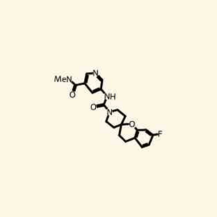 CNC(=O)c1cncc(NC(=O)N2CCC3(CCc4ccc(F)cc4O3)CC2)c1